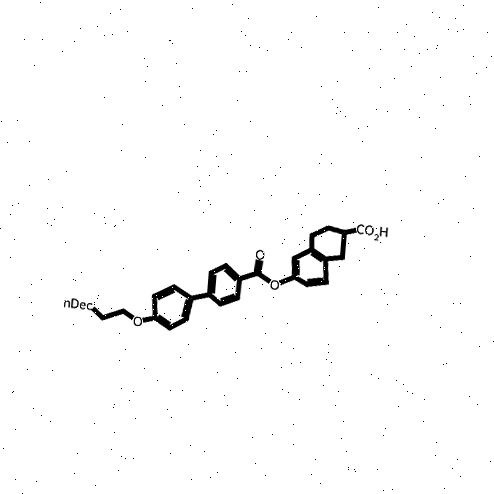 CCCCCCCCCCCCOc1ccc(-c2ccc(C(=O)Oc3ccc4c(c3)CCC(C(=O)O)C4)cc2)cc1